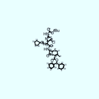 CC1=C(C(=O)OC(c2ccccc2)c2ccccc2)N2C(=O)C(NC(=O)C(=NOC3CCCC3)c3nc(NC(=O)OC(C)(C)C)sc3Cl)C2SC1